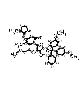 COCCO[C@@H]1[C@H](O)[C@@H](COC(c2ccccc2)(c2ccc(OC)cc2)c2ccc(OC)cc2)O[C@H]1n1cc(C)c(/N=C2\CCCN2C)nc1=O